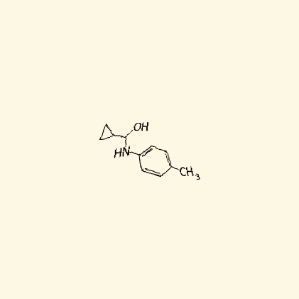 Cc1ccc(NC(O)C2CC2)cc1